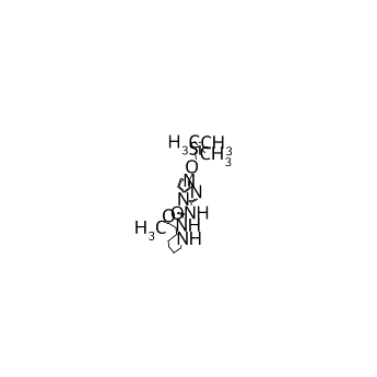 CC(=O)C(NC(=O)Nc1cnc2c(ccn2COCC[Si](C)(C)C)n1)C1CCCCN1